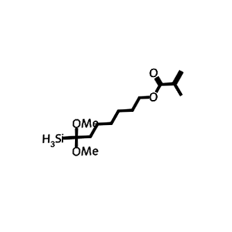 C=C(C)C(=O)OCCCCCCC([SiH3])(OC)OC